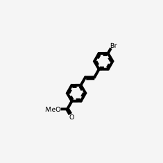 COC(=O)c1ccc(C=Cc2ccc(Br)cc2)cc1